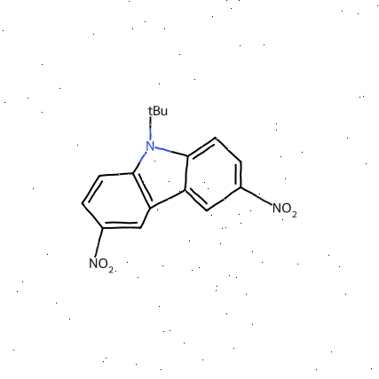 CC(C)(C)n1c2ccc([N+](=O)[O-])cc2c2cc([N+](=O)[O-])ccc21